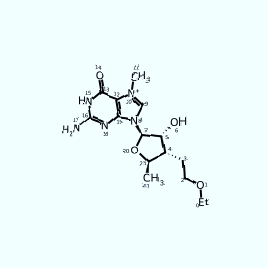 CCOCC[C@H]1[C@@H](O)[C@H](n2c[n+](C)c3c(=O)[nH]c(N)nc32)O[C@@H]1C